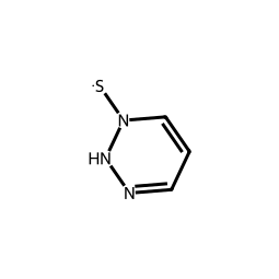 [S]N1C=CC=NN1